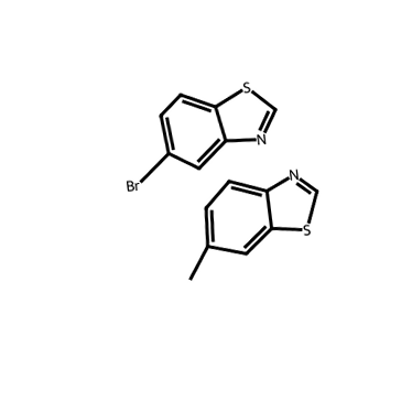 Brc1ccc2scnc2c1.Cc1ccc2ncsc2c1